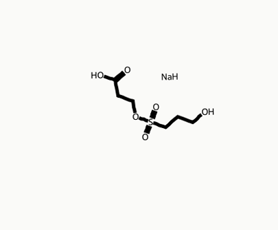 O=C(O)CCOS(=O)(=O)CCCO.[NaH]